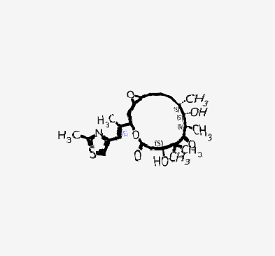 C/C(=C\c1csc(C)n1)C1CC2OC2CCC[C@H](C)[C@H](O)[C@@H](C)C(=O)C(C)(C)[C@@H](O)CC(=O)O1